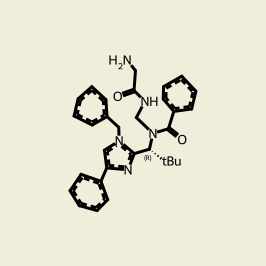 CC(C)(C)[C@H](c1nc(-c2ccccc2)cn1Cc1ccccc1)N(CNC(=O)CN)C(=O)c1ccccc1